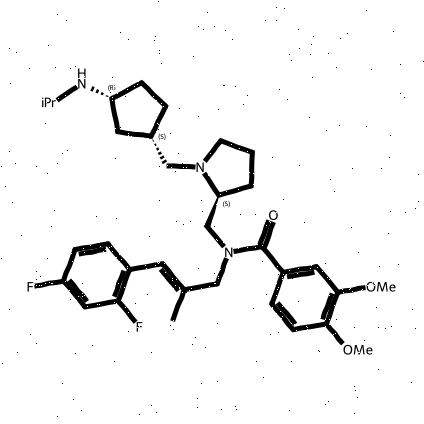 COc1ccc(C(=O)N(CC(C)=Cc2ccc(F)cc2F)C[C@@H]2CCCN2C[C@H]2CC[C@@H](NC(C)C)C2)cc1OC